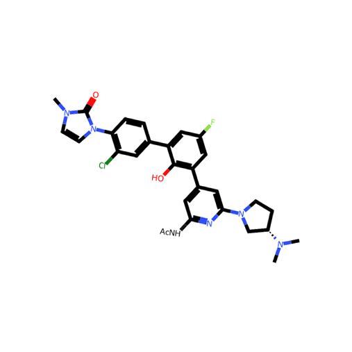 CC(=O)Nc1cc(-c2cc(F)cc(-c3ccc(-n4ccn(C)c4=O)c(Cl)c3)c2O)cc(N2CC[C@H](N(C)C)C2)n1